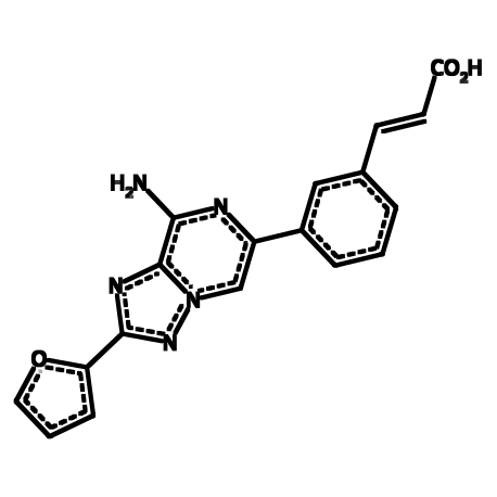 Nc1nc(-c2cccc(C=CC(=O)O)c2)cn2nc(-c3ccco3)nc12